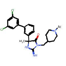 CC(=O)N1CCC(CN2C(=N)NC(C)(c3cccc(-c4cc(Cl)cc(Cl)c4)c3)C2=O)CC1